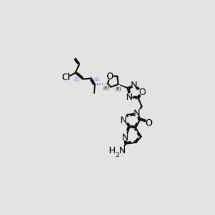 C=C/C(Cl)=C\C=C(/C)[C@H]1C[C@H](c2noc(Cn3cnc4nc(N)ccc4c3=O)n2)CO1